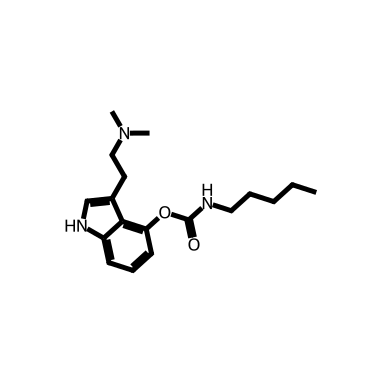 CCCCCNC(=O)Oc1cccc2[nH]cc(CCN(C)C)c12